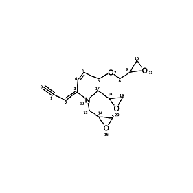 C#C/C=C(\C=C/COCC1CO1)N(CC1CO1)CC1CO1